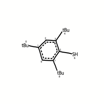 CC(C)(C)c1cc(C(C)(C)C)c(S)c(C(C)(C)C)c1